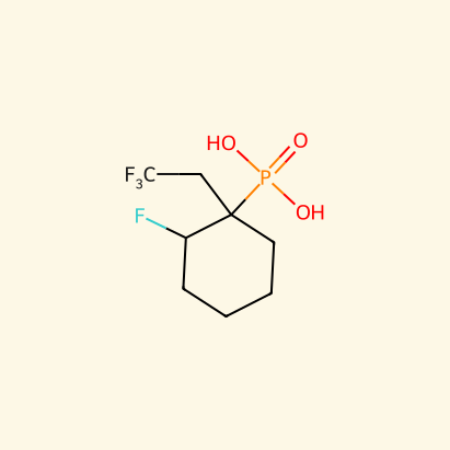 O=P(O)(O)C1(CC(F)(F)F)CCCCC1F